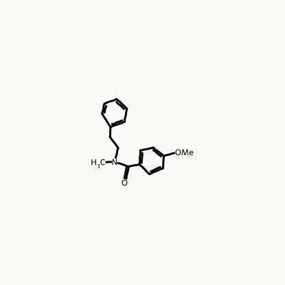 COc1ccc(C(=O)N(C)CCc2ccccc2)cc1